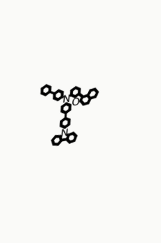 c1ccc(-c2ccc(N(c3ccc(-c4ccc(-n5c6ccccc6c6ccccc65)cc4)cc3)c3cccc4c3oc3ccc5ccccc5c34)cc2)cc1